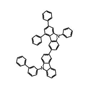 c1ccc(-c2cccc(-n3c4ccccc4c4cc(-c5ccc6c(c5)c5c(-c7ccccc7)cc(-c7ccccc7)cc5n6-c5ccccc5)ccc43)c2)cc1